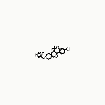 Cn1cncc1CN1CCC2(CC1)CO[C@H]1c3ccc(Cl)cc3OC(C)(C)[C@@H]1C2